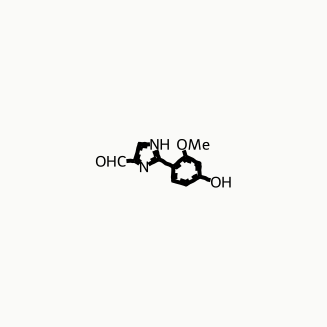 COc1cc(O)ccc1-c1nc(C=O)c[nH]1